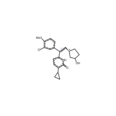 CSc1ccc(/C(=C/[C@H]2CCC(O)C2)c2ccc(C3CC3)c(=O)[nH]2)cc1Cl